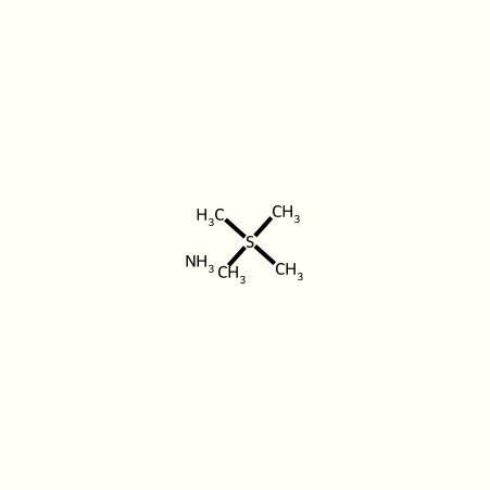 CS(C)(C)C.N